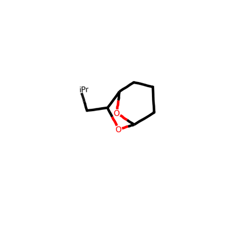 CC(C)CC1OC2CCCC1O2